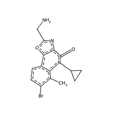 Cc1c(Br)ccc2c3oc(CN)nc3c(=O)n(C3CC3)c12